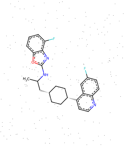 CC(C[C@H]1CC[C@@H](c2ccnc3ccc(F)cc32)CC1)Nc1nc2c(F)cccc2o1